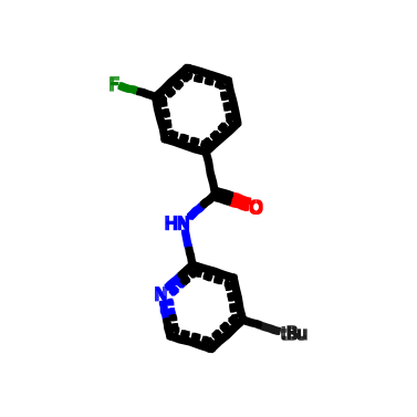 CC(C)(C)c1ccnc(NC(=O)c2cccc(F)c2)c1